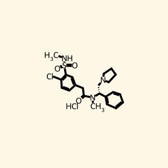 CNS(=O)(=O)c1cc(CC(=O)N(C)[C@H](CN2CCCC2)c2ccccc2)ccc1Cl.Cl